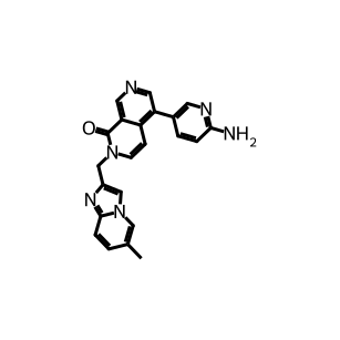 Cc1ccc2nc(Cn3ccc4c(-c5ccc(N)nc5)cncc4c3=O)cn2c1